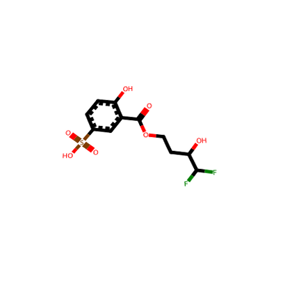 O=C(OCCC(O)C(F)F)c1cc(S(=O)(=O)O)ccc1O